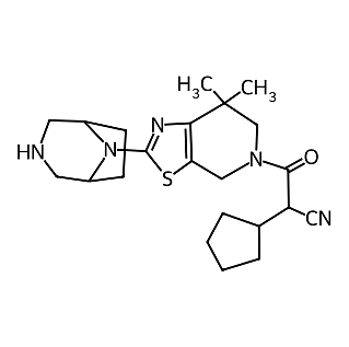 CC1(C)CN(C(=O)C(C#N)C2CCCC2)Cc2sc(N3C4CCC3CNC4)nc21